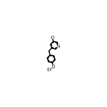 CCOc1ccc([CH]c2cncc(Cl)c2)cc1